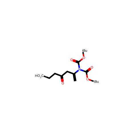 C=C(CC(=O)CCC(=O)O)N(C(=O)OC(C)(C)C)C(=O)OC(C)(C)C